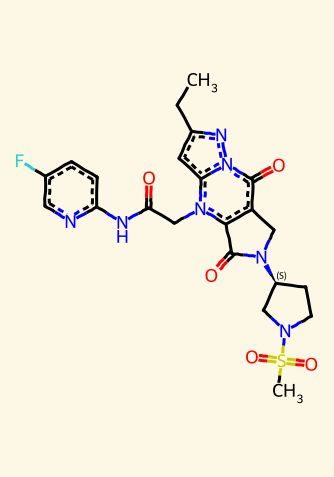 CCc1cc2n(CC(=O)Nc3ccc(F)cn3)c3c(c(=O)n2n1)CN([C@H]1CCN(S(C)(=O)=O)C1)C3=O